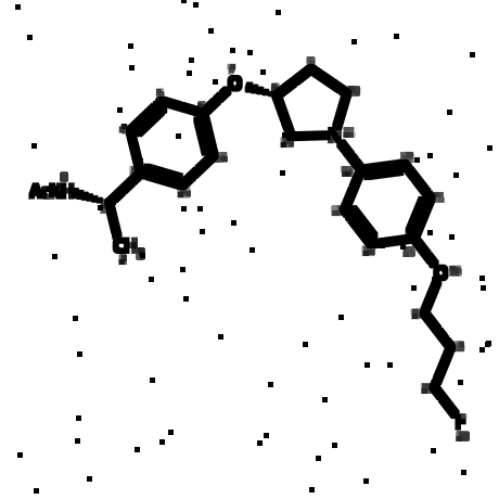 CC(=O)N[C@@H](C)c1ccc(O[C@@H]2CCN(c3ccc(OCCCF)cc3)C2)cc1